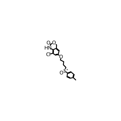 Cc1ccc([S+]([O-])CCCCOc2cc(Cl)c3c(c2)COC(=O)N3)cc1